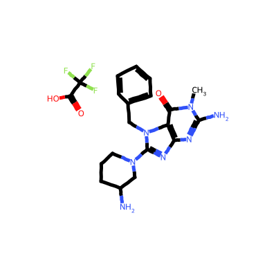 Cn1c(N)nc2nc(N3CCCC(N)C3)n(Cc3ccccc3)c2c1=O.O=C(O)C(F)(F)F